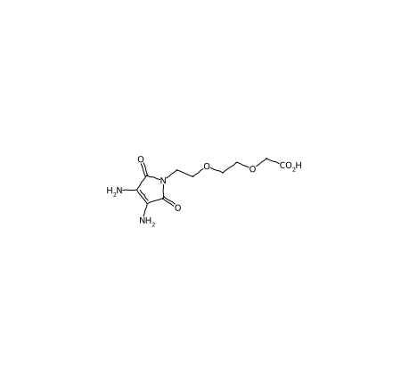 NC1=C(N)C(=O)N(CCOCCOCC(=O)O)C1=O